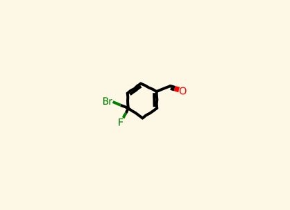 O=CC1=CCC(F)(Br)C=C1